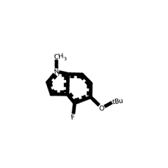 Cn1ccc2c(F)c(OC(C)(C)C)ccc21